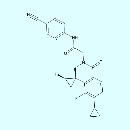 N#Cc1cnc(NC(=O)CN2C[C@]3(C[C@H]3F)c3c(ccc(C4CC4)c3F)C2=O)nc1